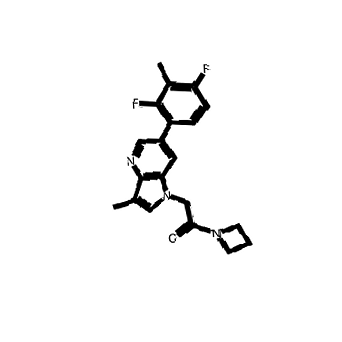 Cc1c(F)ccc(-c2cnc3c(C)cn(CC(=O)N4CCC4)c3c2)c1F